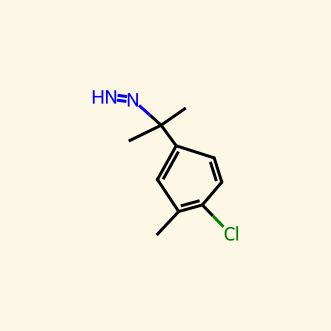 Cc1cc(C(C)(C)N=N)ccc1Cl